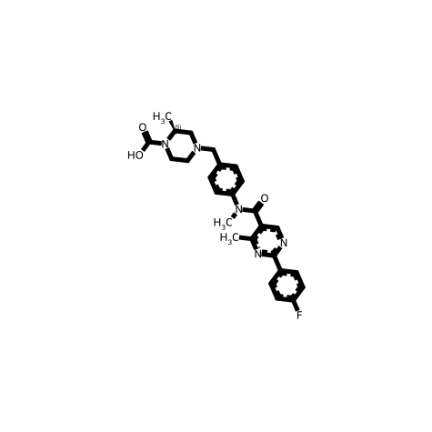 Cc1nc(-c2ccc(F)cc2)ncc1C(=O)N(C)c1ccc(CN2CCN(C(=O)O)[C@@H](C)C2)cc1